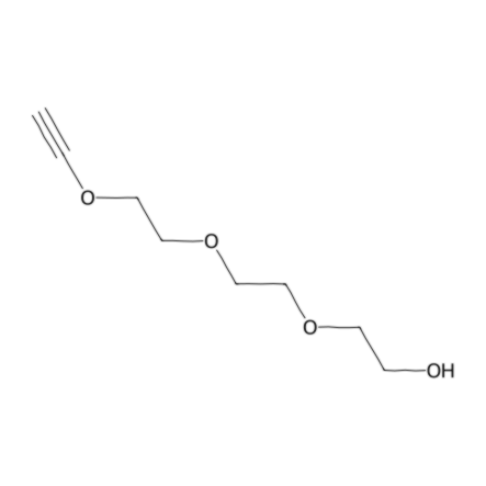 C#COCCOCCOCCO